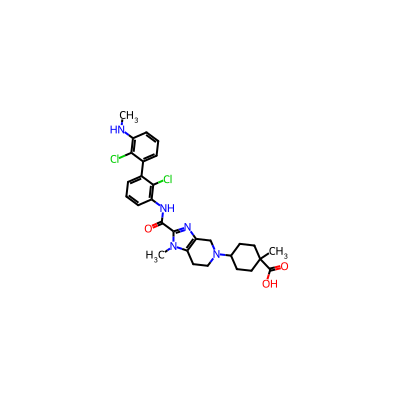 CNc1cccc(-c2cccc(NC(=O)c3nc4c(n3C)CCN(C3CCC(C)(C(=O)O)CC3)C4)c2Cl)c1Cl